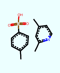 Cc1ccc(S(=O)(=O)O)cc1.Cc1ccnc(C)c1